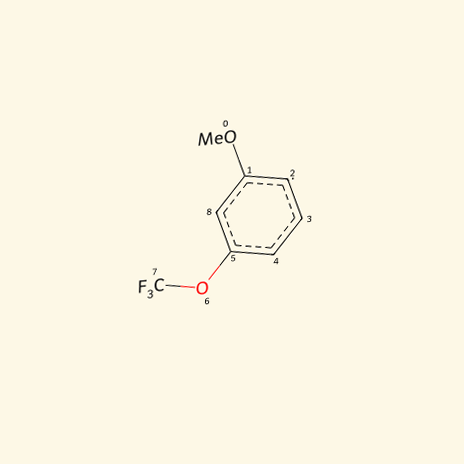 COc1[c]ccc(OC(F)(F)F)c1